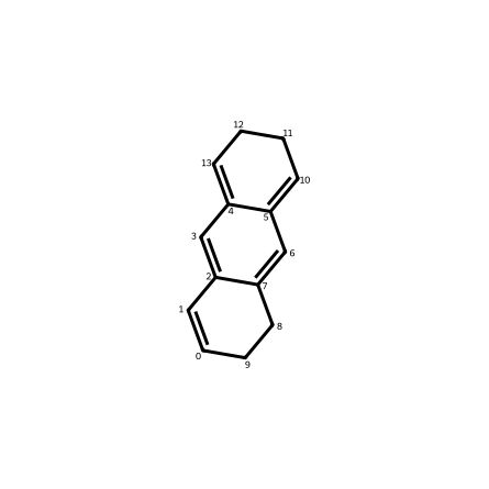 C1=Cc2cc3c(cc2CC1)=CCCC=3